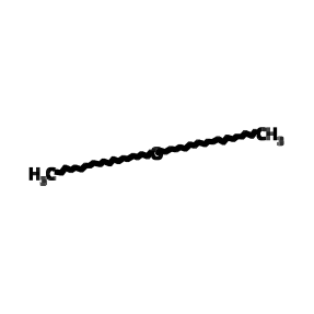 CCCCCCCCCCCCCCCCCCCCCCOCCCCCCCCCCCCCCCCCCCCCC